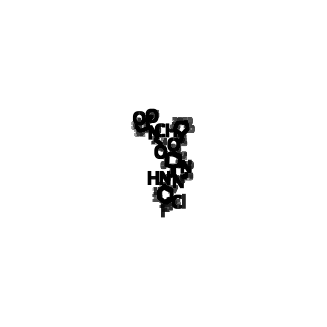 CN(CCOc1cc2c(Nc3ccc(F)c(Cl)c3)ncnc2cc1OCC1CCCC1)C1CCOC1=O